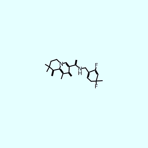 C=C(NCC1=CCC(C)(F)C=C1F)C1=CN2CCC(C)(C)C(=C)C2=C(C)C1=C